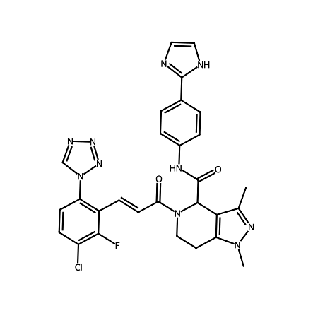 Cc1nn(C)c2c1C(C(=O)Nc1ccc(-c3ncc[nH]3)cc1)N(C(=O)C=Cc1c(-n3cnnn3)ccc(Cl)c1F)CC2